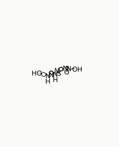 O=C1N(CCO)CCN1c1ccc2nc(Nc3cccc(N[C@H]4CC[C@H](O)CC4)n3)sc2c1